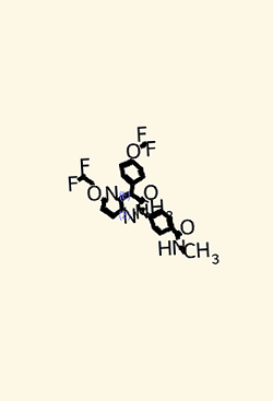 CNC(=O)c1ccc(N(C)/N=C2/C=CC(OCC(F)F)=N/C2=C(/C=O)c2ccc(OC(F)F)cc2)cc1